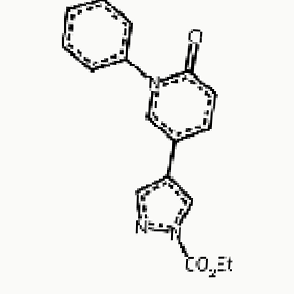 CCOC(=O)n1cc(-c2ccc(=O)n(-c3ccccc3)c2)cn1